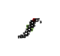 CCCCC1CCC(c2cc(F)c(-c3ccc4cc(OC(F)(F)F)ccc4c3)c(F)c2)CC1